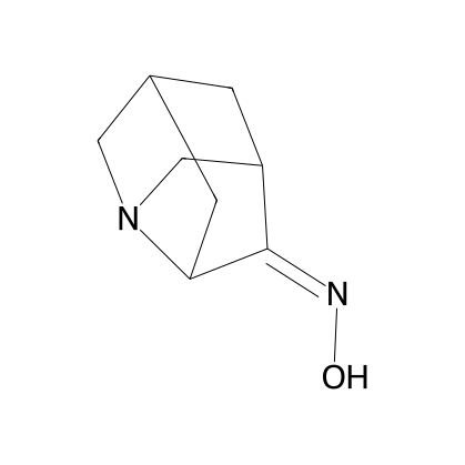 ON=C1C2CC3CC1N(C3)C2